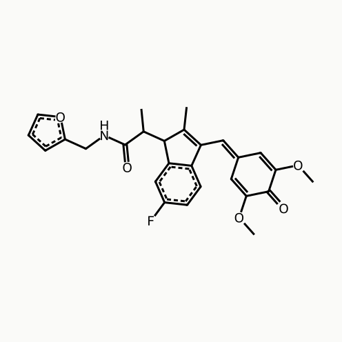 COC1=CC(=CC2=C(C)C(C(C)C(=O)NCc3ccco3)c3cc(F)ccc32)C=C(OC)C1=O